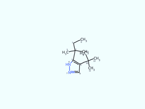 CCC(C)(C)c1[nH]ncc1C(C)(C)C